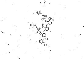 CCc1cccc(Cc2cccc(Cc3cccc(Cc4cccc(C)c4OCC(=O)NCCN)c3O)c2OCC(=O)NCCN)c1O